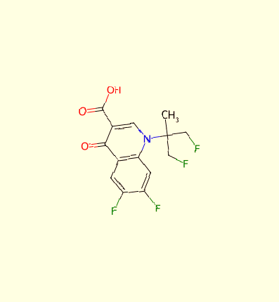 CC(CF)(CF)n1cc(C(=O)O)c(=O)c2cc(F)c(F)cc21